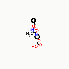 CC(NC(=O)OCc1ccccc1)C(=O)N1CCC(OCC(=O)O)CC1